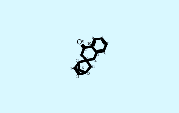 O=C1CC2(Cc3ccccc31)CC1C=CC2C1